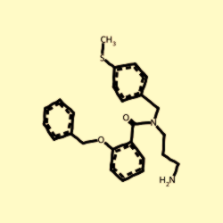 CSc1ccc(CN(CCCN)C(=O)c2ccccc2OCc2ccccc2)cc1